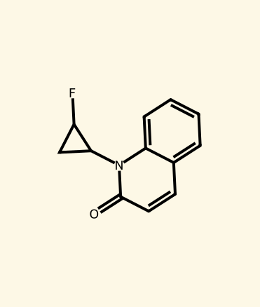 O=c1ccc2ccccc2n1C1CC1F